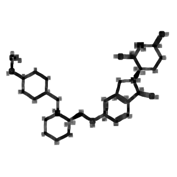 COC1CCC(CN2CCCC[C@@H]2COc2ccc3c(c2)CN([C@@H]2CCC(=O)NC2=O)C3=O)CC1